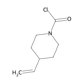 C=CC1CCN(C(=O)Cl)CC1